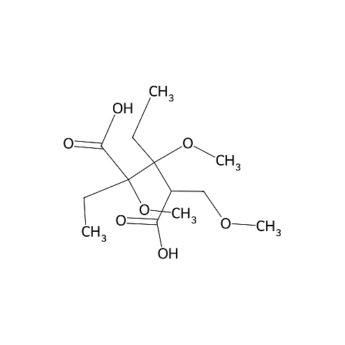 CCC(OC)(C(=O)O)C(CC)(OC)C(COC)C(=O)O